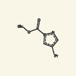 CC(C)c1cnn(C(=O)OC(C)(C)C)c1